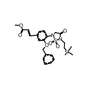 COC(=O)C=Cc1ccc(N2CC(=O)N(CC[Si](C)(C)C)S2(=O)=O)c(OCc2ccccc2)c1